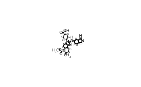 COC(=O)N1c2ccc3c(nc(Nc4ccc5cn[nH]c5c4)n3C3CCC(C(=O)O)CC3)c2CCC1C